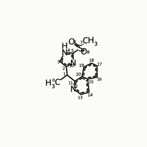 CC(c1c[nH]c(S(C)(=O)=O)n1)c1nccc2ccccc12